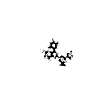 Cn1cc([C@@H]2CN(c3nc(-c4cc(F)c(F)cc4F)c4nc(C(F)(F)F)n(C)c(=O)c4n3)CC3(CC3)O2)cn1